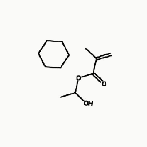 C1CCCCC1.C=C(C)C(=O)OC(C)O